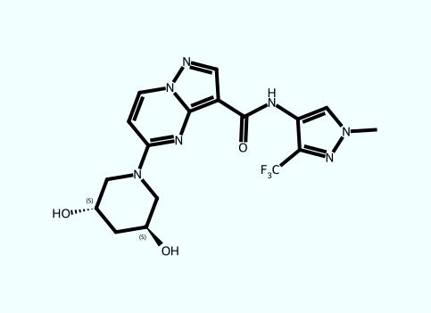 Cn1cc(NC(=O)c2cnn3ccc(N4C[C@@H](O)C[C@H](O)C4)nc23)c(C(F)(F)F)n1